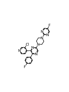 Fc1ccc(-c2ncc(N3CCN(c4ncc(F)cn4)CC3)nc2-c2ccncc2Cl)cc1